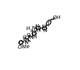 COc1cccc(-n2c(=O)c(C(=O)Nc3ccc(-c4nc(-c5cncc(N6CCN(CCO)CC6)n5)cnc4N)nc3)c(C)n2C)c1